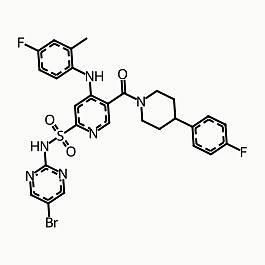 Cc1cc(F)ccc1Nc1cc(S(=O)(=O)Nc2ncc(Br)cn2)ncc1C(=O)N1CCC(c2ccc(F)cc2)CC1